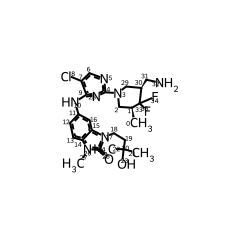 C[C@H]1CN(c2ncc(Cl)c(Nc3ccc4c(c3)n(CCC(C)(C)O)c(=O)n4C)n2)C[C@@H](CN)C1(F)F